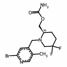 Cc1cnc(Br)cc1CN1CC(F)(F)CC[C@@H]1COC(N)=O